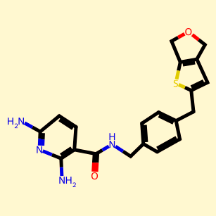 Nc1ccc(C(=O)NCc2ccc(Cc3cc4c(s3)COC4)cc2)c(N)n1